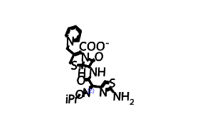 CC(C)O/N=C(\C(=O)NC1C(=O)N2C(C(=O)[O-])=C(C[n+]3ccccc3)CS[C@H]12)c1csc(N)n1